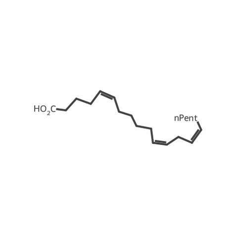 CCCCC/C=C\C/C=C\CCCC/C=C\CCCC(=O)O